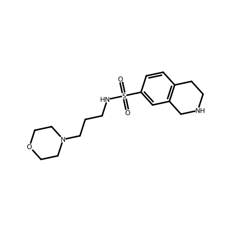 O=S(=O)(NCCCN1CCOCC1)c1ccc2c(c1)CNCC2